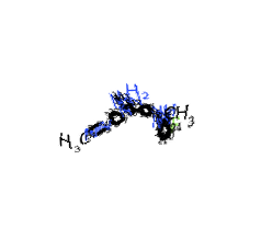 CN1CCN([C@H]2CC[C@@H](n3cc(-c4ccc(Nc5nc6cccc(F)c6n5C)cc4)c4c(N)ncnc43)CC2)CC1